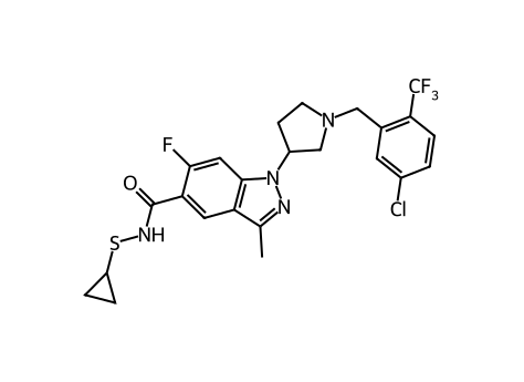 Cc1nn(C2CCN(Cc3cc(Cl)ccc3C(F)(F)F)C2)c2cc(F)c(C(=O)NSC3CC3)cc12